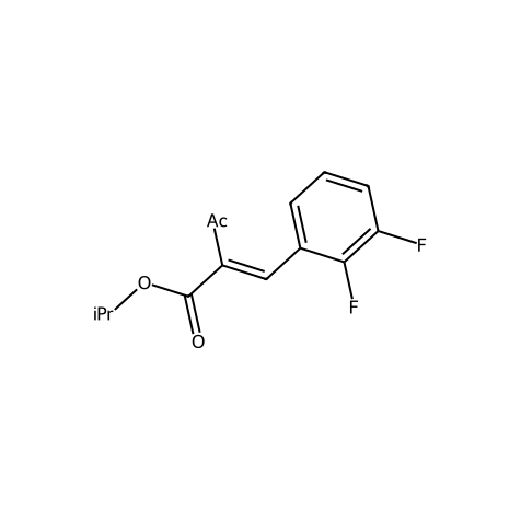 CC(=O)/C(=C\c1cccc(F)c1F)C(=O)OC(C)C